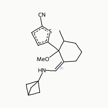 COC1(c2ccc(C#N)s2)/C(=C\NC23CC(C2)C3)CCCC1C